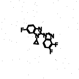 Fc1ccc2nc(-n3cnc4c(F)c(F)ccc43)n(C3CC3)c2c1